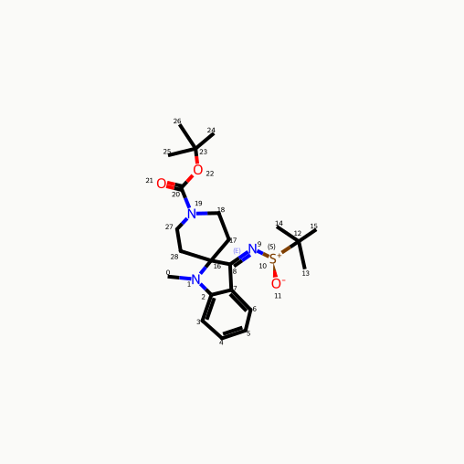 CN1c2ccccc2/C(=N\[S@+]([O-])C(C)(C)C)C12CCN(C(=O)OC(C)(C)C)CC2